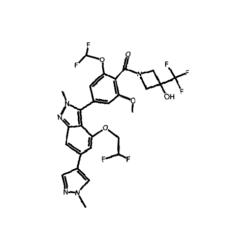 COc1cc(-c2c3c(OCC(F)F)cc(-c4cnn(C)c4)cc3nn2C)cc(OC(F)F)c1C(=O)N1CC(O)(C(F)(F)F)C1